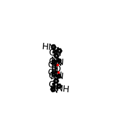 Cc1cccnc1N(C(=O)c1ccc(-c2cnn(C)c2-c2noc(=O)n2C(C)OC(=O)OC(C)n2c(-c3c(-c4ccc(C(=O)N(c5ncccc5C)[C@@H]5CCCNC5)cc4)cnn3C)noc2=O)cc1)[C@@H]1CCCNC1